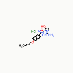 CCCCCOc1ccc2cc(-c3noc([C@@H]4[C@@H](O)CCN4C(=N)N)n3)ccc2c1.Cl